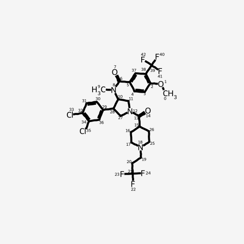 COc1ccc(C(=O)N(C)C2CN(C(=O)C3CCN(CCC(F)(F)F)CC3)CC2c2ccc(Cl)c(Cl)c2)cc1C(F)(F)F